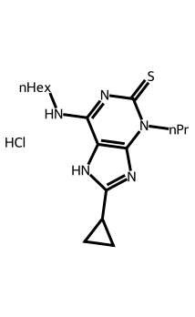 CCCCCCNc1nc(=S)n(CCC)c2nc(C3CC3)[nH]c12.Cl